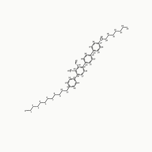 CCCCCCCCCCCCc1ccc(-c2ccc(-c3ccc(-c4ccc(OCCCCCCC)cc4)cc3)c(F)c2F)cc1